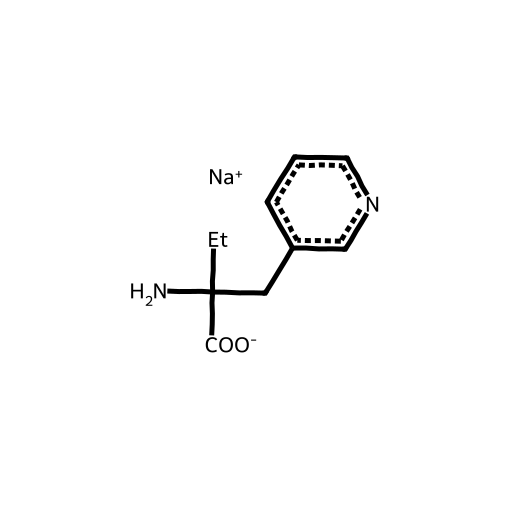 CCC(N)(Cc1cccnc1)C(=O)[O-].[Na+]